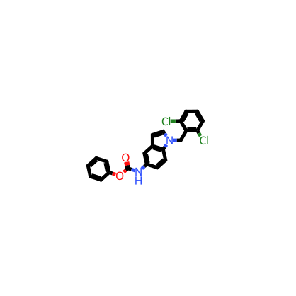 O=C(Nc1ccc2c(ccn2Cc2c(Cl)cccc2Cl)c1)Oc1ccccc1